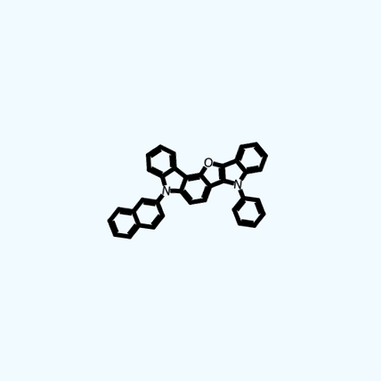 c1ccc(-n2c3ccccc3c3oc4c(ccc5c4c4ccccc4n5-c4ccc5ccccc5c4)c32)cc1